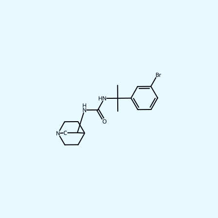 CC(C)(NC(=O)NC1CN2CCC1CC2)c1cccc(Br)c1